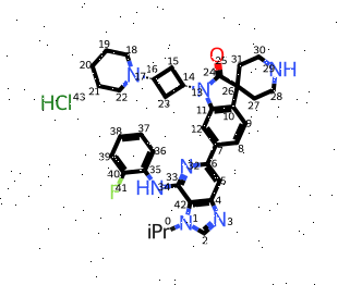 CC(C)n1cnc2cc(-c3ccc4c(c3)N([C@H]3C[C@@H](N5CCCCC5)C3)C(=O)C43CCNCC3)nc(Nc3ccccc3F)c21.Cl